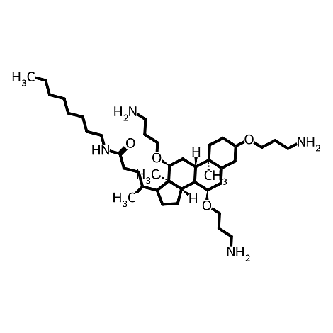 CCCCCCCCNC(=O)CCC(C)C1CC[C@H]2C3[C@H](OCCCN)CC4CC(OCCCN)CC[C@]4(C)[C@H]3C[C@H](OCCCN)[C@]12C